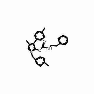 Cc1ccc(Cn2cc(C)c(-c3ccc(C)cc3)c2OC(=O)NCCc2ccccc2)cc1